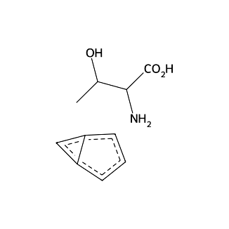 CC(O)C(N)C(=O)O.c1cc2cc-2c1